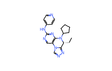 CC[C@@H]1c2nncn2-c2cnc(Nc3ccncc3)nc2N1C1CCCC1